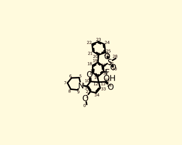 COC1=C(N2CCCCC2)C(=O)C(C(=O)O)(c2ccc(-c3ccccc3)c(S(C)(=O)=O)c2F)C=C1